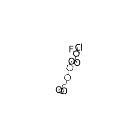 O=C(OC1CCC([C@H]2CC[C@H](CCC3OCCO3)CC2)CC1)c1ccc(Cl)c(F)c1